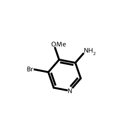 COc1c(N)cncc1Br